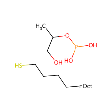 CC(CO)OP(O)O.CCCCCCCCCCCCS